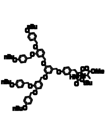 CCCCOc1ccc(COc2ccc(COc3cc(COc4ccc(CC(NC(=O)OC(C)(C)C)C(=O)NC(C)C(=O)OC)cc4)cc(OCc4ccc(OCc5ccc(OCCCC)cc5)c(OCc5ccc(OCCCC)cc5)c4)c3)cc2OCc2ccc(OCCCC)cc2)cc1